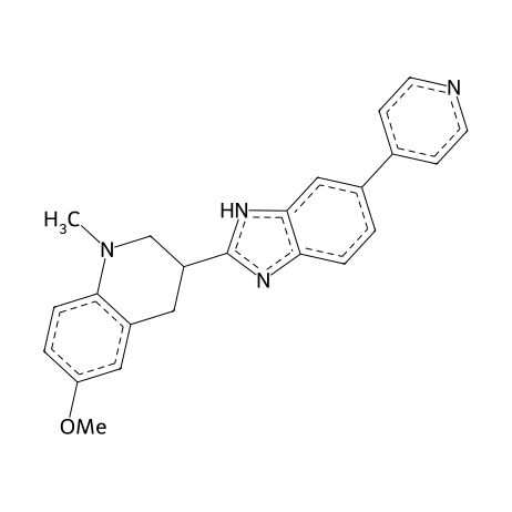 COc1ccc2c(c1)CC(c1nc3ccc(-c4ccncc4)cc3[nH]1)CN2C